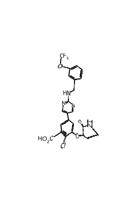 O=C(O)c1cc(-c2cnc(NCc3cccc(OC(F)(F)F)c3)nc2)cc(OC2CCNC2=O)c1Cl